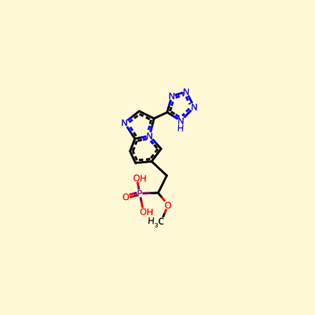 COC(Cc1ccc2ncc(-c3nnn[nH]3)n2c1)P(=O)(O)O